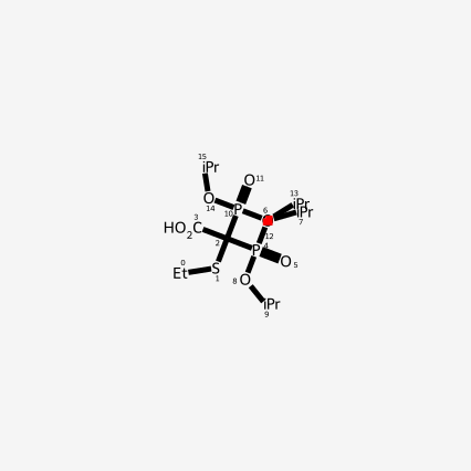 CCSC(C(=O)O)(P(=O)(OC(C)C)OC(C)C)P(=O)(OC(C)C)OC(C)C